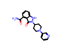 NC(=O)c1cccc2[nH]n(C3CCN(c4cccnc4)CC3)c(=O)c12